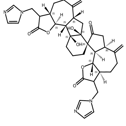 C=C1CC[C@H]2C(Cn3ccnc3)C(=O)O[C@@H]2[C@@H]2[C@H]1C[C@@]1(O)[C@]2(O)CCC[C@]12C(=O)C[C@H]1C(=C)CC[C@H]3C(Cn4ccnc4)C(=O)O[C@@H]3[C@H]12